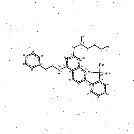 CCCCN(C)Cc1nc(NCCc2ccccc2)c2ccc(-c3ncccc3C(F)(F)F)cc2n1